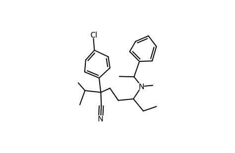 CCC(CCC(C#N)(c1ccc(Cl)cc1)C(C)C)N(C)C(C)c1ccccc1